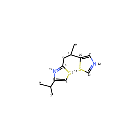 CC(C)c1csc(CC(C)c2cncs2)n1